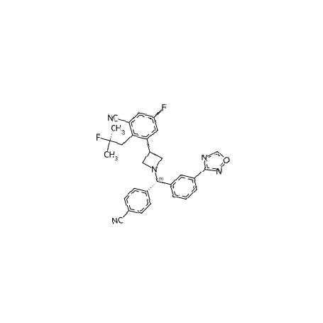 CC(C)(F)Cc1c(C#N)cc(F)cc1C1CN([C@@H](c2ccc(C#N)cc2)c2cccc(-c3ncon3)c2)C1